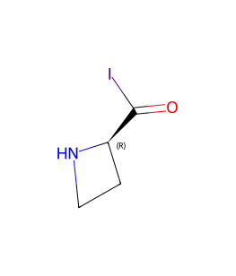 O=C(I)[C@H]1CCN1